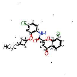 O=C(Nc1ccc(Cl)cc1OC1CC(C(=O)O)C1)c1cc(=O)c2cccc(Cl)c2o1